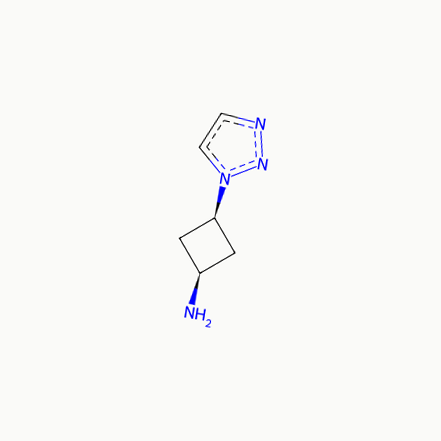 N[C@H]1C[C@@H](n2ccnn2)C1